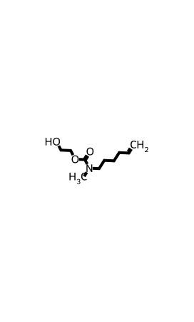 C=CCCCCN(C)C(=O)OCCO